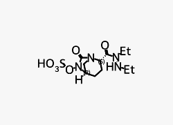 CCNN(CC)C(=O)[C@@H]1CC[C@@H]2CN1C(=O)N2OS(=O)(=O)O